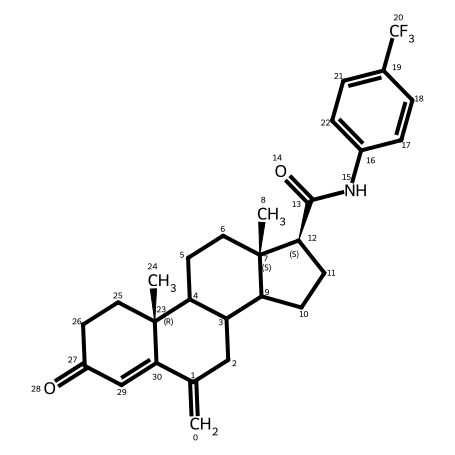 C=C1CC2C(CC[C@@]3(C)C2CC[C@@H]3C(=O)Nc2ccc(C(F)(F)F)cc2)[C@@]2(C)CCC(=O)C=C12